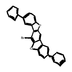 Brc1c2oc3ccc(-c4ccccc4)cc3c2cc2oc3ccc(-c4ccccc4)cc3c12